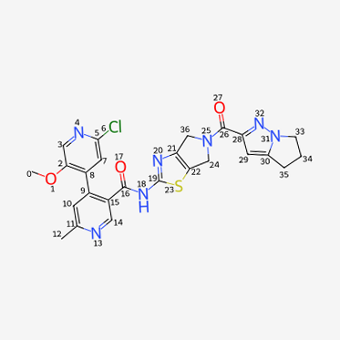 COc1cnc(Cl)cc1-c1cc(C)ncc1C(=O)Nc1nc2c(s1)CN(C(=O)c1cc3n(n1)CCC3)C2